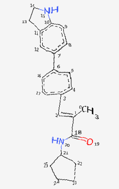 C/C(=C\c1ccc(-c2ccc3c(c2)CCN3)cc1)C(=O)NC1CCCC1